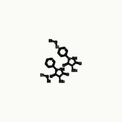 CCCCC1C(=O)NN(c2ccccc2)C1=O.CCCCC1C(=O)NN(c2ccccc2)C1=O.CCOCC.CCOCC